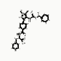 Cc1c(NC(=O)O[C@H](C)c2ccccc2)c(-c2ccc(C(=O)N[C@H](Cc3ccccc3)C(=O)O)cc2)nn1C